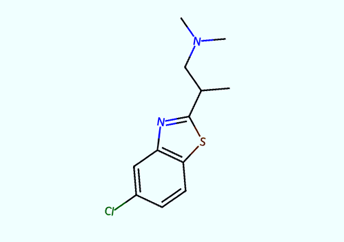 CC(CN(C)C)c1nc2cc(Cl)ccc2s1